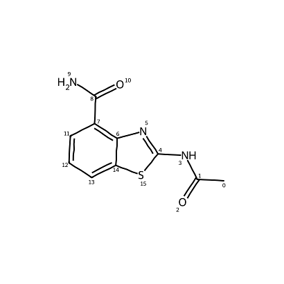 CC(=O)Nc1nc2c(C(N)=O)cccc2s1